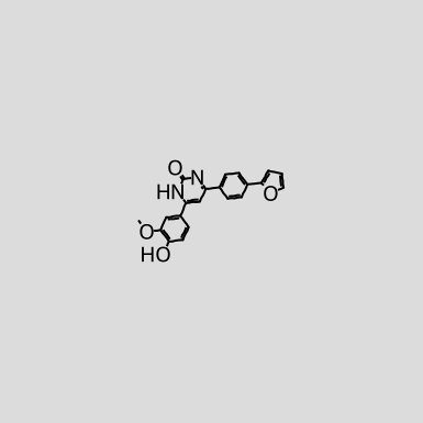 COc1cc(-c2cc(-c3ccc(-c4ccco4)cc3)nc(=O)[nH]2)ccc1O